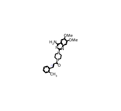 COc1cc2nc(N3CCN(C(=O)/C=C/c4ccccc4C)CC3)nc(N)c2cc1OC